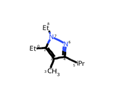 CCc1c(C)c(C(C)C)nn1CC